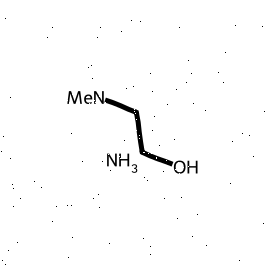 N.[CH2]NCCO